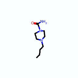 CCCCN1CCN(C(N)=O)CC1